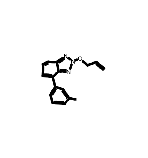 C=CCOn1nc2cccc(-c3cccc(C)c3)c2n1